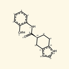 COc1ccccc1NC(=O)[C@H]1CCc2[nH]cnc2C1